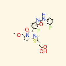 CCOC[C@@H]1CC[C@@H](c2ncc(CCC(=O)O)s2)N1C(=O)Cc1ccc2nc(Nc3cc(F)ccc3C)oc2c1F